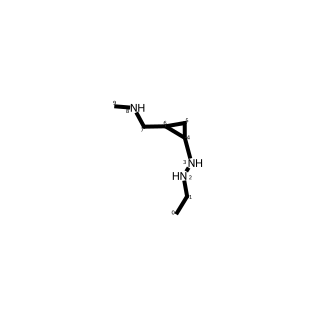 CCNNC1CC1CNC